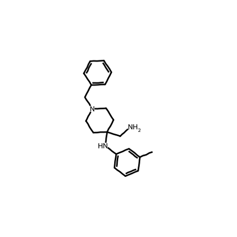 Cc1cccc(NC2(CN)CCN(Cc3ccccc3)CC2)c1